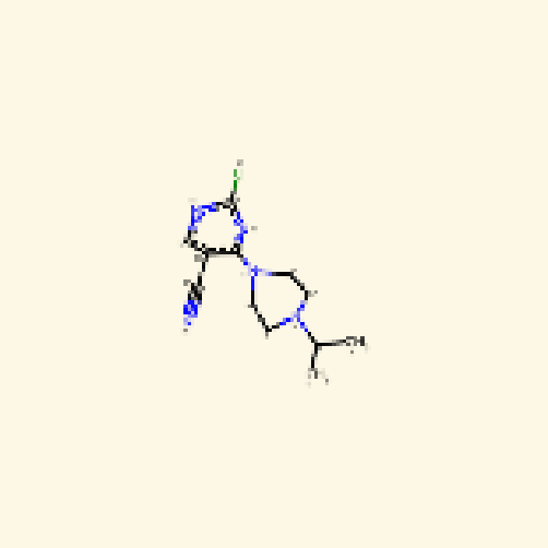 CC(C)N1CCN(c2nc(Cl)ncc2C#N)CC1